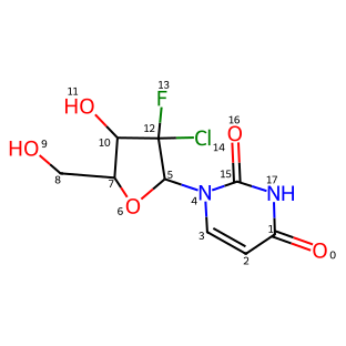 O=c1ccn(C2OC(CO)C(O)C2(F)Cl)c(=O)[nH]1